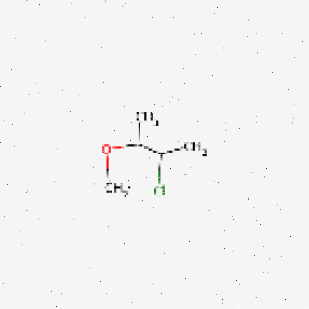 [CH2]OC(C)C(C)Cl